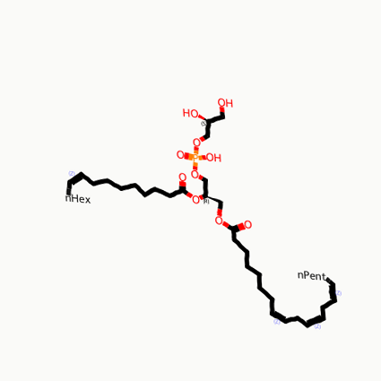 CCCCC/C=C\C/C=C\C/C=C\CCCCCCC(=O)OC[C@H](COP(=O)(O)OC[C@@H](O)CO)OC(=O)CCCCCCC/C=C\CCCCCC